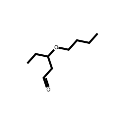 CCCCOC(CC)CC=O